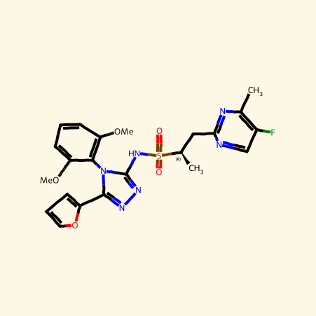 COc1cccc(OC)c1-n1c(NS(=O)(=O)[C@H](C)Cc2ncc(F)c(C)n2)nnc1-c1ccco1